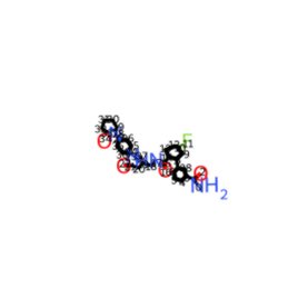 NC(=O)c1cccc(-c2cc(F)ccc2C(=O)NCC2CC(=O)N(c3ccc(N4CCCCC4=O)cc3)C2)c1